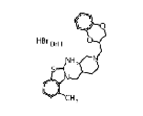 Br.Br.Cc1cccc2c1N(CC1CCN(CC3COc4ccccc4O3)CC1)C(N)S2